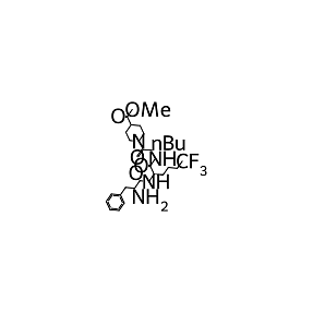 CCCCC(NC(=O)[C@@H](CCCC(F)(F)F)NC(=O)[C@H](N)Cc1ccccc1)C(=O)N1CCC(C(=O)OC)CC1